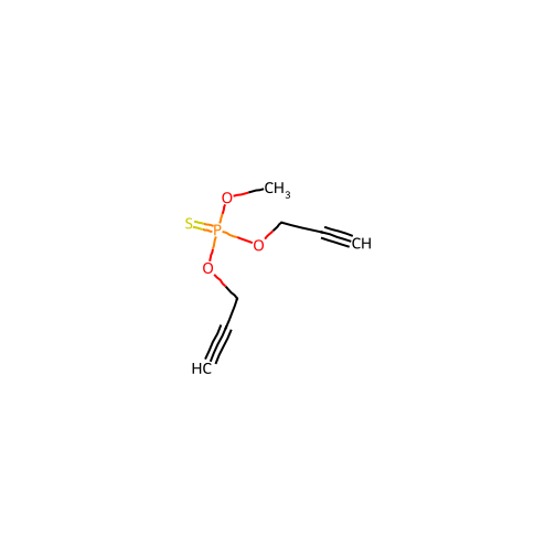 C#CCOP(=S)(OC)OCC#C